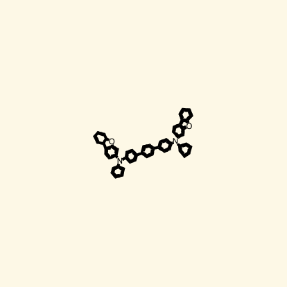 C1=CC2Oc3cc(N(c4ccccc4)c4ccc(-c5ccc(-c6ccc(N(c7ccccc7)c7ccc8c(c7)oc7ccccc78)cc6)cc5)cc4)ccc3C2C=C1